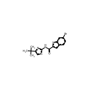 CC(C)(C)c1csc(NC(=O)c2cc3ccc(Br)cc3s2)n1